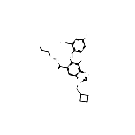 Cc1ccc(Nc2c(C(=O)NOCCO)cc3c(ncn3CC3CCC3)c2F)c(Cl)c1